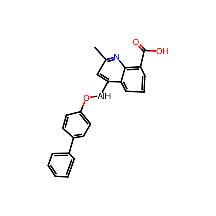 Cc1c[c]([AlH][O]c2ccc(-c3ccccc3)cc2)c2cccc(C(=O)O)c2n1